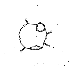 O=C1CCCCOC(=O)c2ccc(cc2)C(=O)OC(=O)c2ccc1cc2